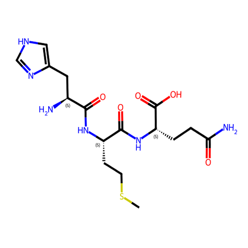 CSCC[C@H](NC(=O)[C@@H](N)Cc1c[nH]cn1)C(=O)N[C@@H](CCC(N)=O)C(=O)O